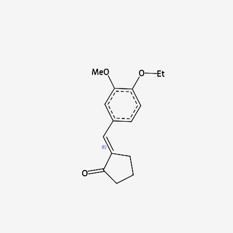 CCOc1ccc(/C=C2\CCCC2=O)cc1OC